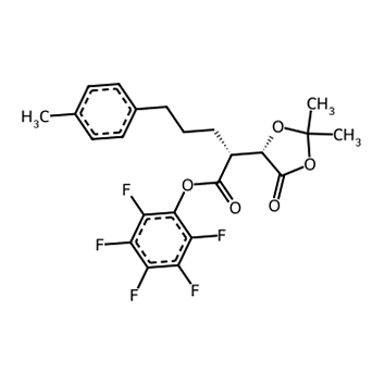 Cc1ccc(CCC[C@@H](C(=O)Oc2c(F)c(F)c(F)c(F)c2F)[C@@H]2OC(C)(C)OC2=O)cc1